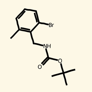 Cc1cccc(Br)c1CNC(=O)OC(C)(C)C